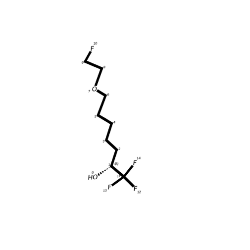 O[C@H](CCCCCOCCF)C(F)(F)F